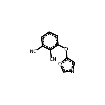 N#Cc1cccc(Oc2cn[c]o2)c1C#N